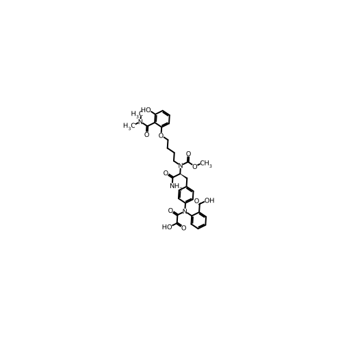 COC(=O)N(CCCCOc1cccc(O)c1C(=O)N(C)C)[C@@H](Cc1ccc(N(C(=O)C(=O)O)c2ccccc2C(=O)O)cc1)C(N)=O